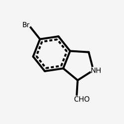 O=CC1NCc2cc(Br)ccc21